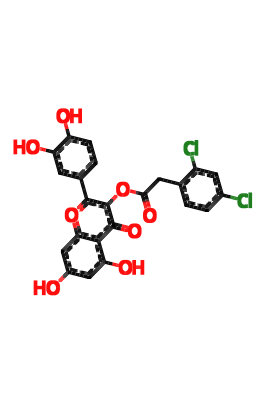 O=C(Cc1ccc(Cl)cc1Cl)Oc1c(-c2ccc(O)c(O)c2)oc2cc(O)cc(O)c2c1=O